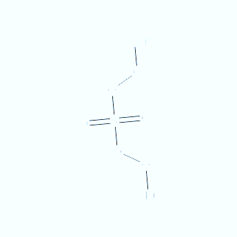 CCCOOS(=O)(=O)OOCC